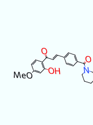 COc1ccc(C(=O)/C=C/c2ccc(C(=O)N3CCCCC3)cc2)c(O)c1